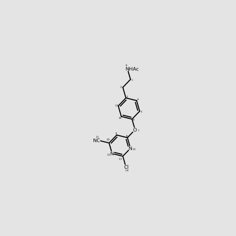 CC(=O)NCCc1ccc(Oc2cc(C#N)nc(Cl)n2)cc1